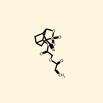 C=CC(=O)OCC(=O)OC1C2CC3C1OS(=O)(=O)C3(C#N)C2